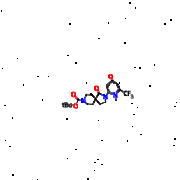 Cn1c(N2CCC3(CCN(C(=O)OC(C)(C)C)CC3)C2=O)cc(=O)cc1C(F)(F)F